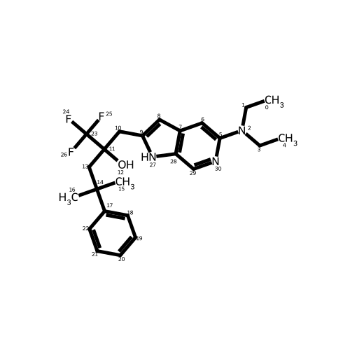 CCN(CC)c1cc2cc(CC(O)(CC(C)(C)c3ccccc3)C(F)(F)F)[nH]c2cn1